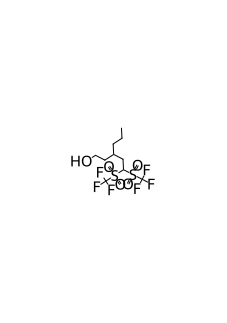 CCCC(CCO)CC(S(=O)(=O)C(F)(F)F)S(=O)(=O)C(F)(F)F